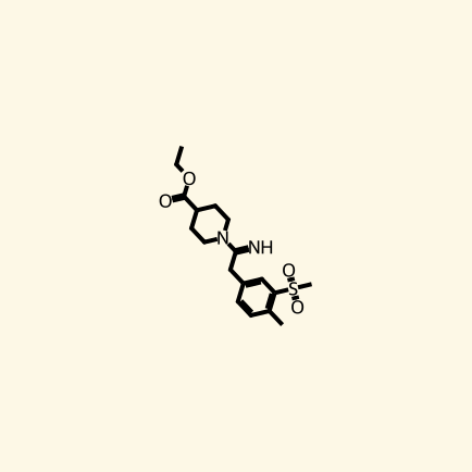 CCOC(=O)C1CCN(C(=N)Cc2ccc(C)c(S(C)(=O)=O)c2)CC1